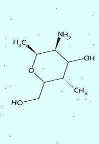 C[C@@H]1C(CO)O[C@@H](C)[C@@H](N)C1O